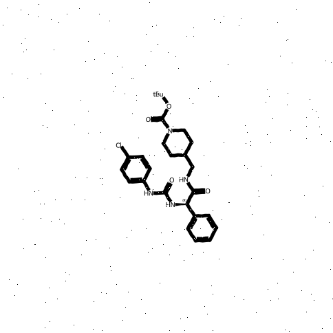 CC(C)(C)OC(=O)N1CCC(CNC(=O)[C@H](NC(=O)Nc2ccc(Cl)cc2)c2ccccc2)CC1